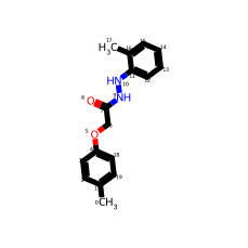 Cc1ccc(OCC(=O)NNc2ccccc2C)cc1